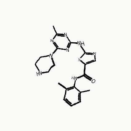 Cc1nc(Nc2ncc(C(=O)Nc3c(C)cccc3C)s2)nc(N2CCNCC2)n1